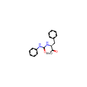 COC(=O)[C@H](Cc1ccccc1)NC(=O)Nc1ccccc1